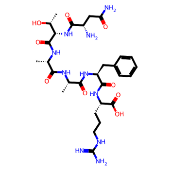 C[C@H](NC(=O)[C@H](C)NC(=O)[C@@H](NC(=O)[C@@H](N)CC(N)=O)[C@@H](C)O)C(=O)N[C@@H](Cc1ccccc1)C(=O)N[C@@H](CCCNC(=N)N)C(=O)O